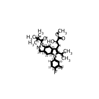 COC(=O)[C@H](O)Cc1c(C(C)C)n(-c2ccc(F)c(F)c2)c2cc3cnn(C(=O)C(C)(C)C)c3cc12